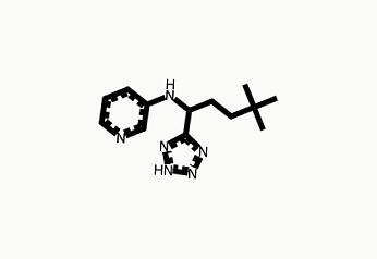 CC(C)(C)CCC(Nc1cccnc1)c1nn[nH]n1